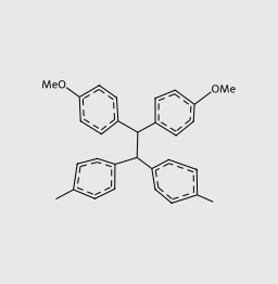 COc1ccc(C(c2ccc(OC)cc2)C(c2ccc(C)cc2)c2ccc(C)cc2)cc1